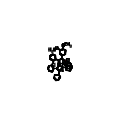 COc1ccc(C2=NC(c3ccccc3Cl)(C3(c4ccccc4Cl)N=C(c4ccccc4)C(c4ccccc4)=N3)N=C2c2ccccc2Cl)cc1OC